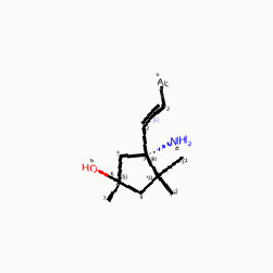 CC(=O)/C=C/[C@]1(N)C[C@@](C)(O)CC1(C)C